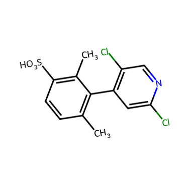 Cc1ccc(S(=O)(=O)O)c(C)c1-c1cc(Cl)ncc1Cl